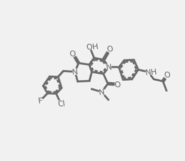 CC(=O)CNc1ccc(-n2c(C(=O)N(C)C)c3c(c(O)c2=O)C(=O)N(Cc2ccc(F)c(Cl)c2)CC3)cc1